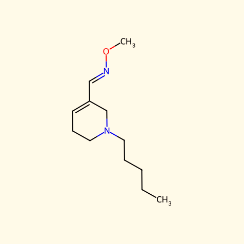 CCCCCN1CCC=C(/C=N/OC)C1